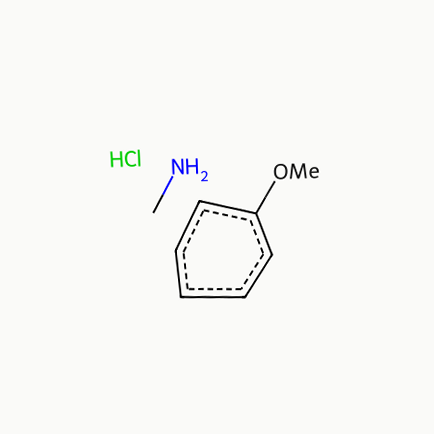 CN.COc1ccccc1.Cl